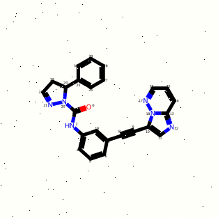 O=C(Nc1cccc(C#Cc2cnc3cccnn23)c1)N1N=CCC1c1ccccc1